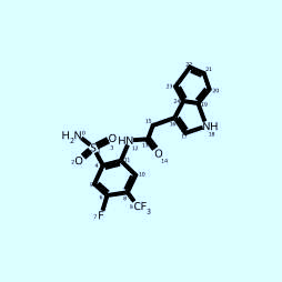 NS(=O)(=O)c1cc(F)c(C(F)(F)F)cc1NC(=O)Cc1c[nH]c2ccccc12